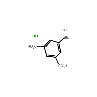 CC(C)(C)c1cc(C(=O)O)cc(C(=O)O)c1.Cl.Cl